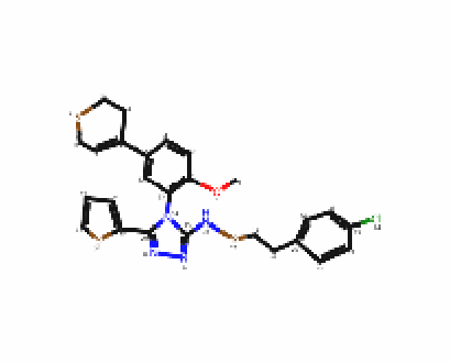 COc1ccc(C2=CCSCC2)cc1-n1c(NSCCc2ccc(Cl)cc2)nnc1-c1cccs1